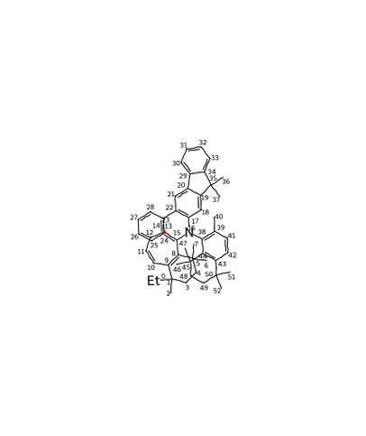 CCC1(C)CCC(C)(C)C2=C1C=CCC(C)=C2N(c1cc2c(cc1-c1ccccc1)-c1ccccc1C2(C)C)c1c(C)ccc2c1C(C)(C)CCC2(C)C